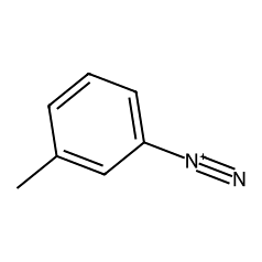 Cc1cccc([N+]#N)c1